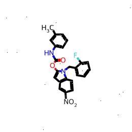 Cc1cccc(NC(=O)Oc2cc3cc([N+](=O)[O-])ccc3n2Cc2ccccc2F)c1